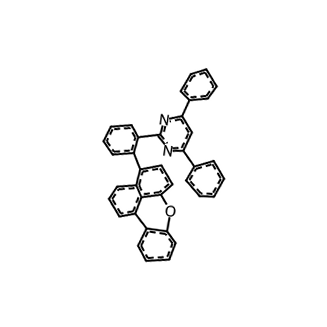 c1ccc(-c2cc(-c3ccccc3)nc(-c3ccccc3-c3ccc4c5c(cccc35)-c3ccccc3O4)n2)cc1